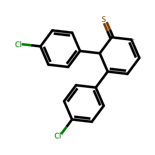 S=C1[C]=CC=C(c2ccc(Cl)cc2)C1c1ccc(Cl)cc1